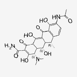 CC(=O)Nc1ccc2c(c1O)C(=O)C1=C(O)C3C(=O)C(C(N)=O)=C(O)[C@@H](N(C)C)C3[C@@H](O)C1[C@H]2C